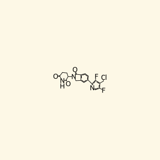 O=C1CCC(N2Cc3cc(-c4ncc(F)c(CCl)c4F)ccc3C2=O)C(=O)N1